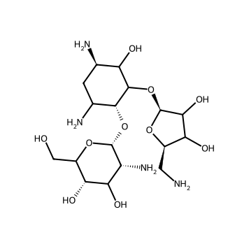 NC[C@H]1O[C@@H](OC2C(O)[C@H](N)CC(N)[C@H]2O[C@H]2OC(CO)[C@@H](O)C(O)[C@H]2N)C(O)C1O